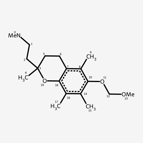 CNCCC1(C)CCc2c(C)c(OCOC)c(C)c(C)c2O1